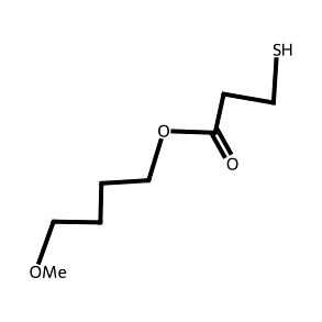 COCCCCOC(=O)CCS